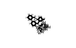 [2H]C([2H])([2H])C([2H])(N(C(=O)C[C@H](c1ccccc1)c1cc(C)ccc1OCc1ccccc1)C([2H])(C([2H])([2H])[2H])C([2H])([2H])[2H])C([2H])([2H])[2H]